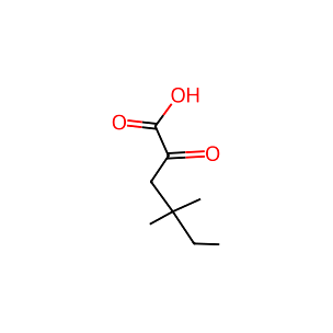 CCC(C)(C)CC(=O)C(=O)O